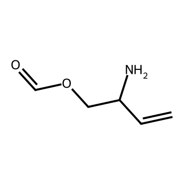 C=CC(N)COC=O